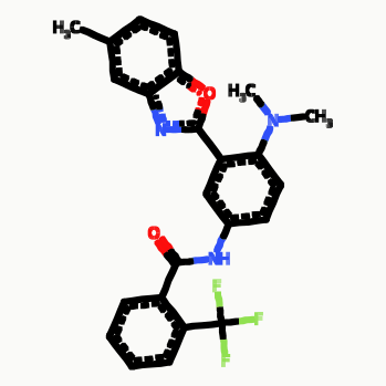 Cc1ccc2oc(-c3cc(NC(=O)c4ccccc4C(F)(F)F)ccc3N(C)C)nc2c1